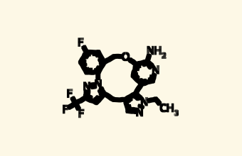 CCn1ncc2c1-c1cnc(N)c(c1)OCc1cc(F)ccc1-n1nc(C(F)(F)F)cc1C2